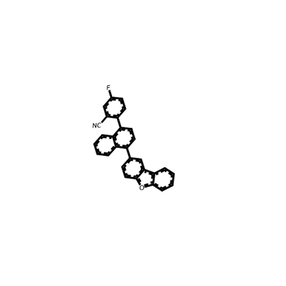 N#Cc1cc(F)ccc1-c1ccc(-c2ccc3oc4ccccc4c3c2)c2ccccc12